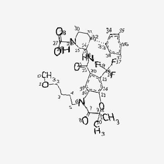 COCCCCN1C(=O)C(C)(C)Oc2cc(C(F)(F)F)c(C(=O)N[C@@H]3CN(C(=O)O)CC[C@@H]3c3ccccc3)cc21